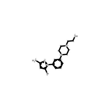 Nc1cc(Br)n(-c2cccc(N3CCN(CCO)CC3)c2)n1